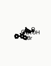 Cc1c(-c2ccccc2)cc2ccc(Br)cc2c1C(=O)NC12C3C4C1C1(C)C2C3C41C(=O)O